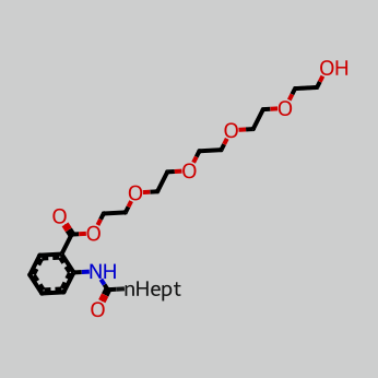 CCCCCCCC(=O)Nc1ccccc1C(=O)OCCOCCOCCOCCOCCO